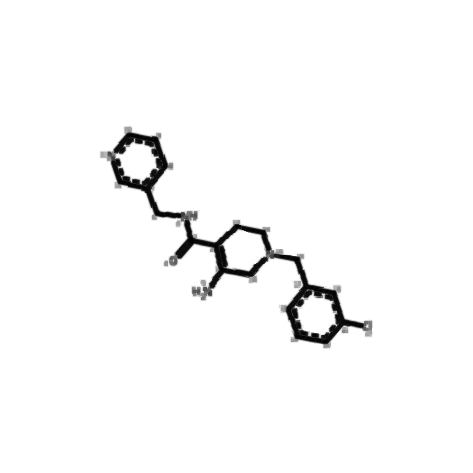 NC1=C(C(=O)NCc2cccnc2)CCN(Cc2cccc(Cl)c2)C1